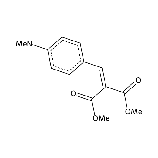 CNc1ccc(C=C(C(=O)OC)C(=O)OC)cc1